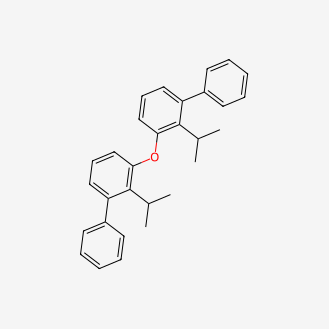 CC(C)c1c(Oc2cccc(-c3ccccc3)c2C(C)C)cccc1-c1ccccc1